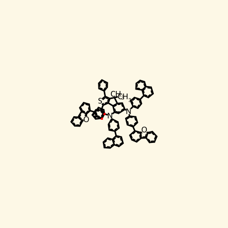 CC1(C)c2cc(N(c3ccc(-c4cccc5ccccc45)cc3)c3ccc(-c4cccc5c4oc4ccccc45)cc3)cc(N(c3ccc(-c4cccc5ccccc45)cc3)c3ccc(-c4cccc5c4oc4ccccc45)cc3)c2-c2c(-c3ccccc3)sc(-c3ccccc3)c21